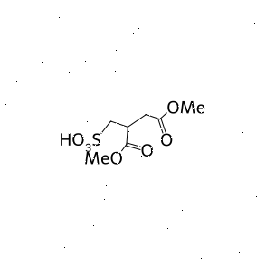 COC(=O)CC(CS(=O)(=O)O)C(=O)OC